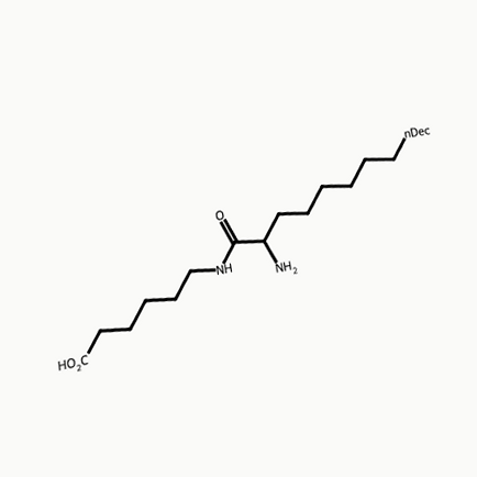 CCCCCCCCCCCCCCCCC(N)C(=O)NCCCCCC(=O)O